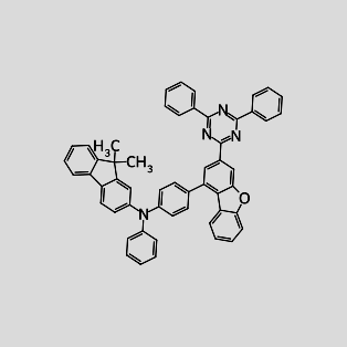 CC1(C)c2ccccc2-c2ccc(N(c3ccccc3)c3ccc(-c4cc(-c5nc(-c6ccccc6)nc(-c6ccccc6)n5)cc5oc6ccccc6c45)cc3)cc21